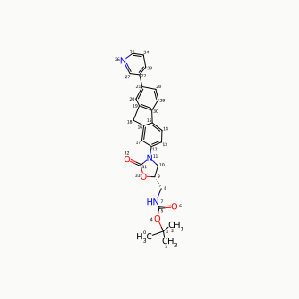 CC(C)(C)OC(=O)NC[C@H]1CN(c2ccc3c(c2)Cc2cc(-c4cccnc4)ccc2-3)C(=O)O1